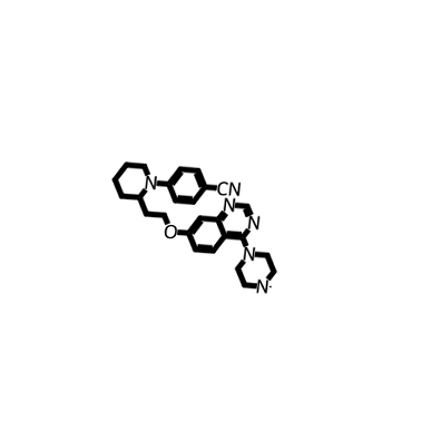 N#Cc1ccc(N2CCCCC2CCOc2ccc3c(N4CC[N]CC4)ncnc3c2)cc1